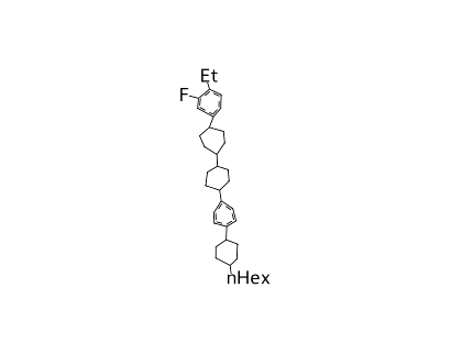 CCCCCCC1CCC(c2ccc(C3CCC(C4CCC(c5ccc(CC)c(F)c5)CC4)CC3)cc2)CC1